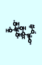 CCO[Si](=O)O.O[Si](O)(O)O